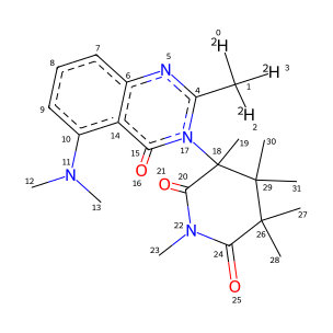 [2H]C([2H])([2H])c1nc2cccc(N(C)C)c2c(=O)n1C1(C)C(=O)N(C)C(=O)C(C)(C)C1(C)C